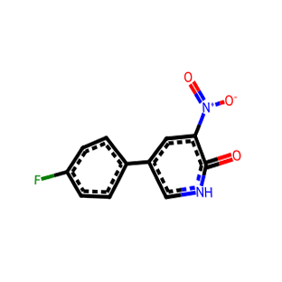 O=c1[nH]cc(-c2ccc(F)cc2)cc1[N+](=O)[O-]